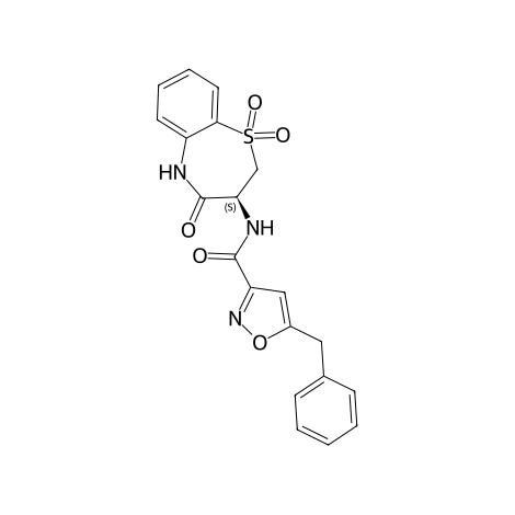 O=C(N[C@@H]1CS(=O)(=O)c2ccccc2NC1=O)c1cc(Cc2ccccc2)on1